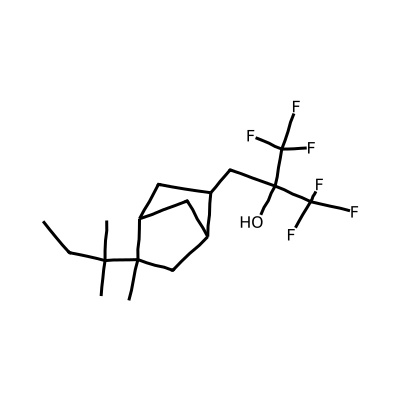 CCC(C)(C)C1(C)CC2CC1CC2CC(O)(C(F)(F)F)C(F)(F)F